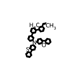 C/C=C\c1cccc(-c2cccc(-c3cccc(N(c4ccc5c(c4)oc4ccccc45)c4ccc5c(c4)sc4ccccc45)c3)c2)c1C